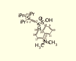 CC(C)[Si](C#C[SH]=S(=O)(O)c1cccc2c(N(C)C)cccc12)(C(C)C)C(C)C